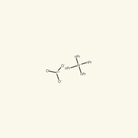 CCC[N+](CCC)(CCC)CCC.[O-][I+2]([O-])[O-]